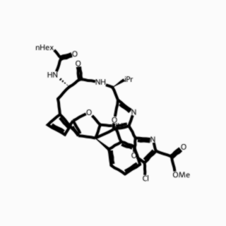 CCCCCCC(=O)N[C@H]1Cc2ccc3c(c2)[C@@]2(c4ccccc4NC2O3)c2oc(nc2-c2nc(C(=O)OC)c(Cl)o2)[C@H](C(C)C)NC1=O